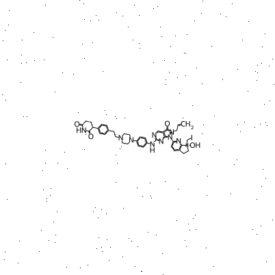 C=CCn1c(=O)c2cnc(Nc3ccc(N4CCN(CCc5ccc(C6CCC(=O)NC6=O)cc5)CC4)cc3)nc2n1-c1ccc2c(n1)[C@@](O)(CI)CC2